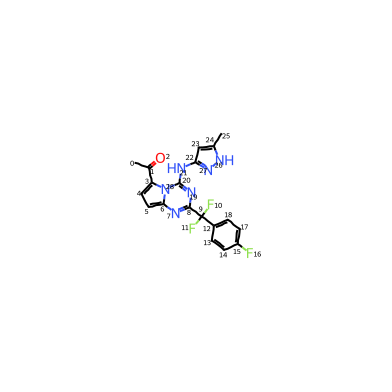 CC(=O)c1ccc2nc(C(F)(F)c3ccc(F)cc3)nc(Nc3cc(C)[nH]n3)n12